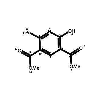 CCCc1nc(O)c(C(=O)OC)cc1C(=O)OC